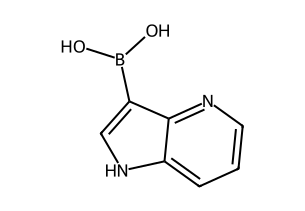 OB(O)c1c[nH]c2cccnc12